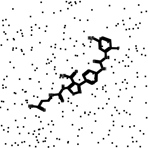 Cc1ccc(F)c(NC(=O)Nc2ccc(-c3nsc(NC(=O)NCCC(=O)O)c3C(N)=O)cc2)c1